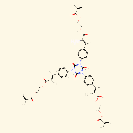 C=C(C)C(=O)OCCOC(=O)/C(N)=C(\C)c1ccc(-n2c(=O)n(-c3ccc(/C(C)=C(\C#N)C(=O)OCCOC(=O)C(=C)C)cc3)c(=O)n(-c3ccc(/C(C)=C(\C#N)C(=O)OCCOC(=O)C(=C)C)cc3)c2=O)cc1